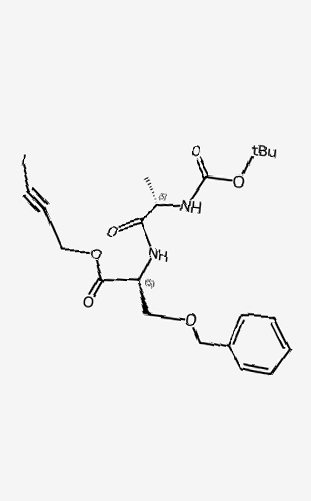 C[C@H](NC(=O)OC(C)(C)C)C(=O)N[C@@H](COCc1ccccc1)C(=O)OCC#CI